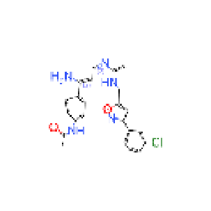 C=C(/N=C\C=C(/N)c1ccc(NC(C)=O)cc1)NCc1cc(-c2cccc(Cl)c2)no1